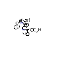 CCCCCC(/C=C/[C@@H]1COCC1C/C=C\C[C@@H](CC(=O)O)c1ccc[se]1)OC1CCCCO1